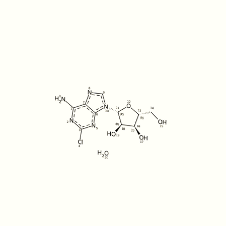 Nc1nc(Cl)nc2c1ncn2[C@@H]1O[C@H](CO)[C@@H](O)[C@H]1O.O